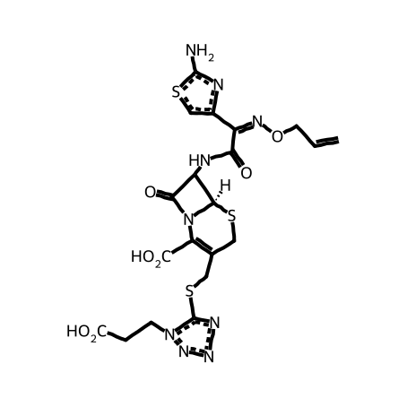 C=CCO/N=C(\C(=O)NC1C(=O)N2C(C(=O)O)=C(CSc3nnnn3CCC(=O)O)CS[C@H]12)c1csc(N)n1